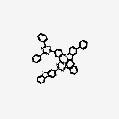 c1ccc(-c2ccc3c(c2)c2ccccc2n3-c2ccc(-c3nc(-c4ccccc4)nc(-c4ccccc4)n3)cc2-c2nc(-c3ccccc3)nc(-c3ccc4c(c3)sc3ccccc34)n2)cc1